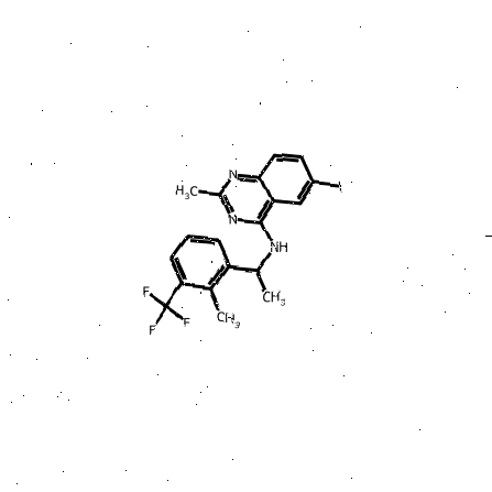 Cc1nc(NC(C)c2cccc(C(F)(F)F)c2C)c2cc(I)ccc2n1